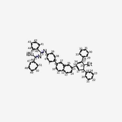 CCC(C)/C(=N\C(=N/c1ccc(-c2ccc3ccc(C4=CC(c5ccccc5)C(CC)C(c5ccccc5)=C4)cc3c2)cc1)c1ccccc1)c1ccccc1